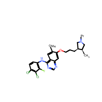 COc1cc2c(Nc3ccc(Cl)c(Cl)c3F)ncnc2cc1OCCC[C@H]1CN(C(C)C)C[C@H]1C